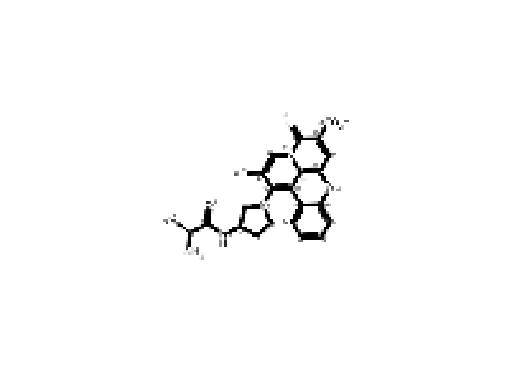 CCC[C@H](N)C(=O)NC1CCN(c2c(F)cn3c(=O)c(C(=O)O)cc4c3c2-c2ccccc2O4)C1